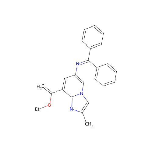 C=C(OCC)c1cc(N=C(c2ccccc2)c2ccccc2)cn2cc(C)nc12